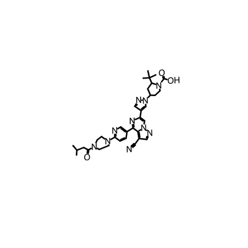 CC(C)CC(=O)N1CCN(c2ccc(-c3nc(-c4cnn(C5CCN(C(=O)O)C(C(C)(C)C)C5)c4)cn4ncc(C#N)c34)cn2)CC1